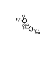 CC(C)(C)Nc1ccc(NS(=O)(=O)c2ccc(Cl)c(C(F)(F)F)c2)cc1